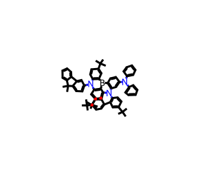 CC(C)(C)c1ccc(-c2cc(C(C)(C)C)ccc2N2c3cc(N(c4ccccc4)c4ccccc4)ccc3B3c4cc(C(C)(C)C)ccc4N(c4ccc5c(c4)-c4ccccc4C5(C)C)c4cc(C(C)(C)C)cc2c43)cc1